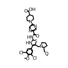 COCC1CCCN1CC1=C(c2cc(Cl)c(OC)c(Cl)c2)NC(NC(=O)c2cnc(N3CCC(C(=O)O)CC3)cn2)S1